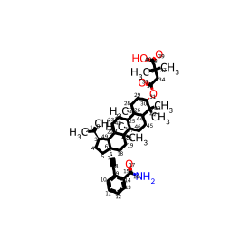 C=C(C)[C@@H]1CC[C@]2(C#Cc3ccccc3C(N)=O)CC[C@]3(C)C(CCC4[C@@]5(C)CC[C@H](OC(=O)CC(C)(C)C(=O)O)C(C)(C)C5CC[C@]43C)C12